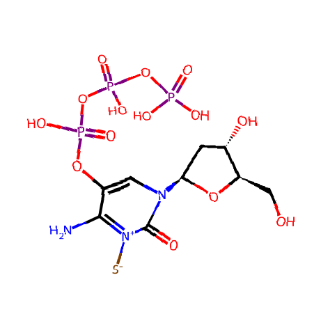 Nc1c(OP(=O)(O)OP(=O)(O)OP(=O)(O)O)cn([C@H]2C[C@H](O)[C@@H](CO)O2)c(=O)[n+]1[S-]